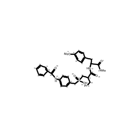 CNC(=O)C(Cc1ccc(OC)cc1)NC(=O)C(CC(C)C)CP(=O)(O)Cc1ccc(NC(=O)c2ccccc2)cc1